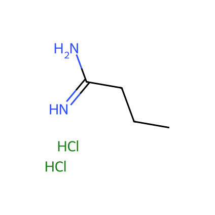 CCCC(=N)N.Cl.Cl